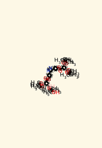 CC(C)(O)C(C)(C)OBc1cc(B2OC(C)(C)C(C)(C)O2)cc(C(=O)Oc2ccc(-c3cc(-c4ccc(OC(=O)c5cc(B6OC(C)(C)C(C)(C)O6)cc(B6OC(C)(C)C(C)(C)O6)c5)cc4)ncn3)cc2)c1